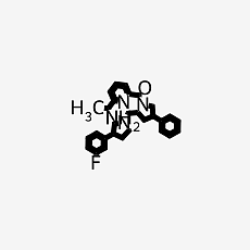 CC(N)c1cccc(C(=O)N2CC(c3ccccc3)CC2CN2CCC(c3cccc(F)c3)C2)n1